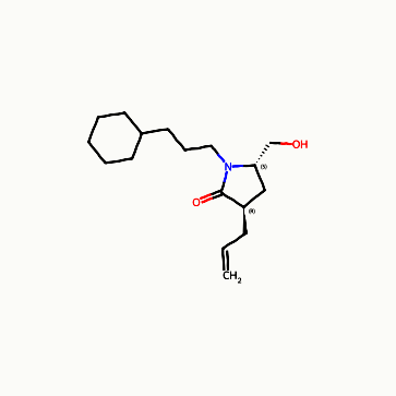 C=CC[C@@H]1C[C@@H](CO)N(CCCC2CCCCC2)C1=O